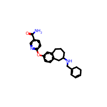 NC(=O)c1ccc(Oc2ccc3c(c2)CCCC(NCC2=CC=CCC2)C3)nc1